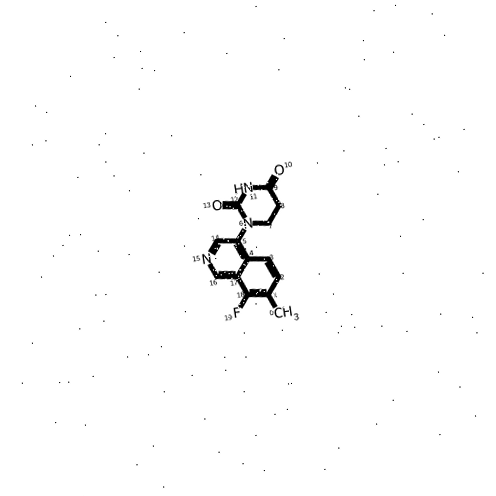 Cc1ccc2c(N3CCC(=O)NC3=O)cncc2c1F